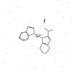 CC(C)C1=CC2=C(CCCC2)[CH]1[Ti+2][CH]1C=Cc2ccccc21.[I-].[I-]